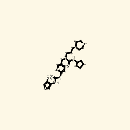 Nc1cscc1NC(=O)Oc1ccc(CN(CCCN2CCOCC2)C(=O)NC2CCCC2)cn1